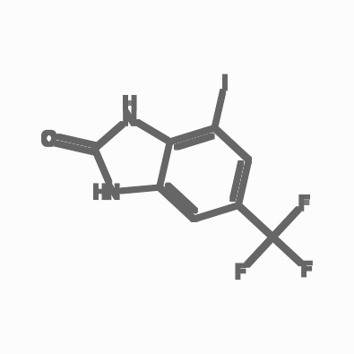 O=c1[nH]c2cc(C(F)(F)F)cc(I)c2[nH]1